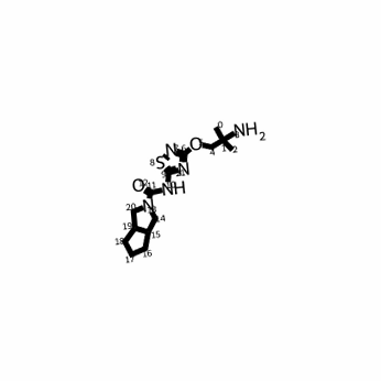 CC(C)(N)COc1nsc(NC(=O)N2CC3CCCC3C2)n1